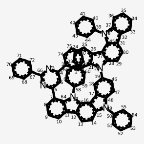 c1ccc(-c2cc(-c3cccc4c5ccc6c(c7cc(-n8c9ccccc9c9c8ccc8c%10ccccc%10n(-c%10ccccc%10)c89)ccc7n6-c6ccccc6)c5n(-c5ccccc5)c34)nc(-c3ccccc3)n2)cc1